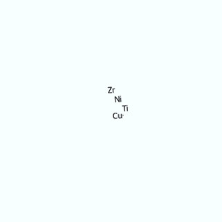 [Cu].[Ni].[Ti].[Zr]